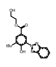 CC(C)(C)c1cc(C(=O)OCCO)cc(-n2nc3ccccc3n2)c1O